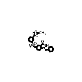 Cc1nnc(-c2cccc(S(=O)(=O)Nc3ccc4c(c3)c(=O)[nH]n4Cc3ccccc3)c2)o1